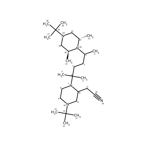 CC(CCC(C)(C)N1CCN(C(C)(C)C)CC1CC#N)N1[C@@H](C)CN(C(C)(C)C)C[C@@H]1C